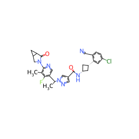 Cc1c(N2CC3CC3C2=O)ncc(C(C)n2cc(C(=O)N[C@H]3C[C@@H](c4cc(Cl)ccc4C#N)C3)cn2)c1F